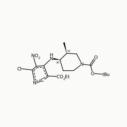 CCOC(=O)c1cnc(Cl)c([N+](=O)[O-])c1N[C@@H]1CCN(C(=O)OC(C)(C)C)C[C@@H]1C